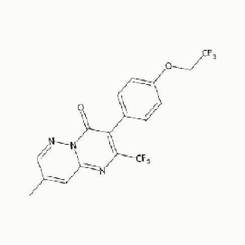 Cc1cnn2c(=O)c(-c3ccc(OCC(F)(F)F)cc3)c(C(F)(F)F)nc2c1